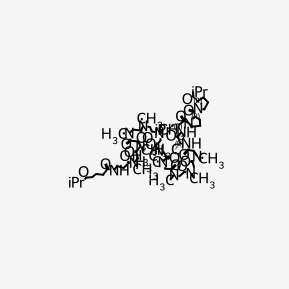 CC(C)C[C@@H](NC(=O)[C@@H](C)NC(=O)CN(C)C(=O)CN(C)C(=O)CN(C)C(=O)CN(C)C(=O)CN(C)C(=O)CN(C)C(=O)CN(C)C(=O)CN(C)C(=O)CN(C)C(=O)CN(C)C(=O)CCNC(=O)CCCC(=O)C(C)C)C(=O)N1CCC[C@@H]1C(=O)N1CCC[C@@H]1C(=O)C(C)C